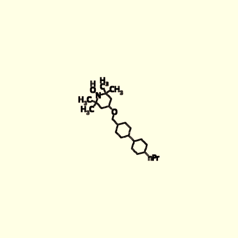 CCCC1CCC(C2CCC(COC3CC(C)(C)N(O)C(C)(C)C3)CC2)CC1